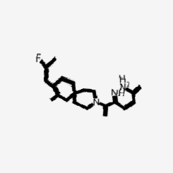 C=C(N)/C=C\C(=N)C(=C)N1CCC2(CCC(/C=C(\C)F)=C(C)C2)CC1